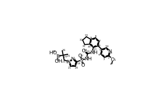 COc1ccc(-c2ccc3c(c2NC(=O)NS(=O)(=O)c2ccn(CC(C)(C)B(O)O)n2)CCC3)cn1